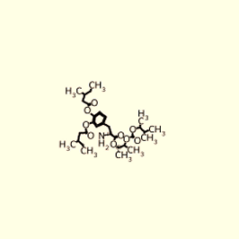 CCC(C)CC(=O)Oc1ccc(C[C@H](N)C(=O)O[C@@H](C)C(C)OC(=O)OC(C)C(C)C)cc1OC(=O)CC(C)CC